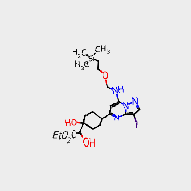 CCOC(=O)C(O)C1(O)CCC(c2cc(NCOCC[Si](C)(C)C)n3ncc(I)c3n2)CC1